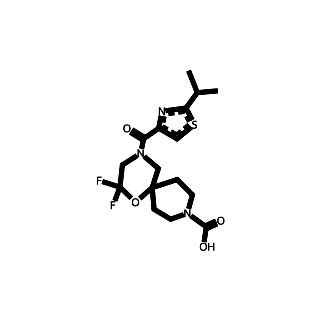 CC(C)c1nc(C(=O)N2CC(F)(F)OC3(CCN(C(=O)O)CC3)C2)cs1